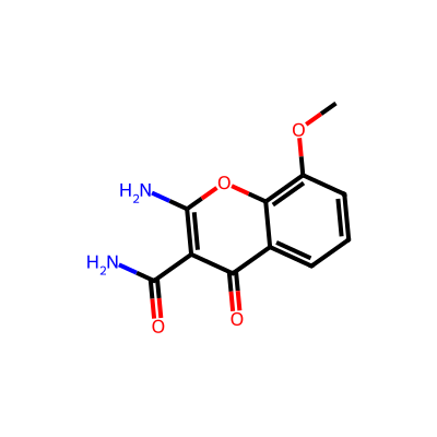 COc1cccc2c(=O)c(C(N)=O)c(N)oc12